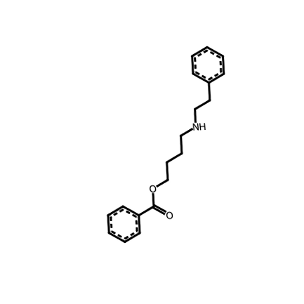 O=C(OCCCCNCCc1ccccc1)c1ccccc1